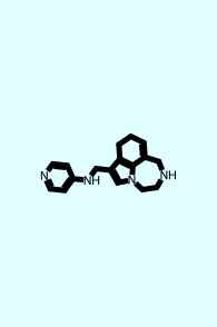 C1=C2CNCCn3cc(CNc4ccncc4)c(c32)CC1